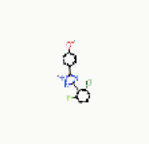 COc1ccc(-c2nc(-c3c(F)cccc3Cl)nn2C)cc1